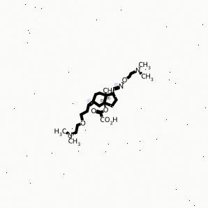 CN(C)CCOCC/C=C1/CC[C@]2(C)[C@@H](/C=N/OCCN(C)C)CC[C@]2(OC(=O)C(=O)O)C1